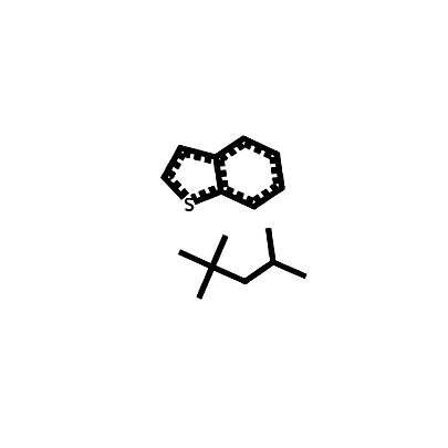 CC(C)CC(C)(C)C.c1ccc2sccc2c1